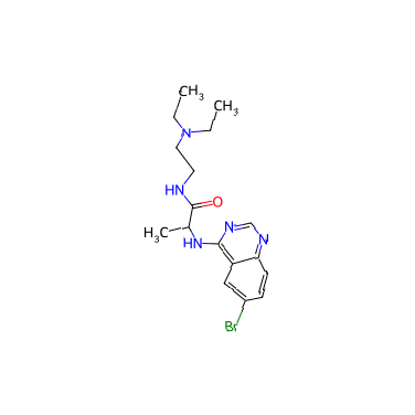 CCN(CC)CCNC(=O)C(C)Nc1ncnc2ccc(Br)cc12